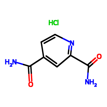 Cl.NC(=O)c1ccnc(C(N)=O)c1